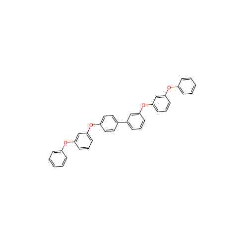 c1ccc(Oc2cccc(Oc3ccc(-c4cccc(Oc5cccc(Oc6ccccc6)c5)c4)cc3)c2)cc1